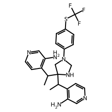 CC(c1ccncc1N)C1(C(C)c2ccncc2N)CN(c2ccc(SC(F)(F)F)cc2)CN1